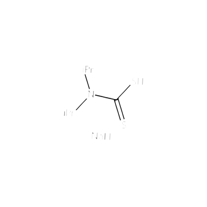 CC(C)N(C(=S)S)C(C)C.[NaH]